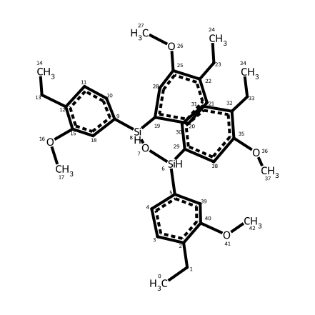 CCc1ccc([SiH](O[SiH](c2ccc(CC)c(OC)c2)c2ccc(CC)c(OC)c2)c2ccc(CC)c(OC)c2)cc1OC